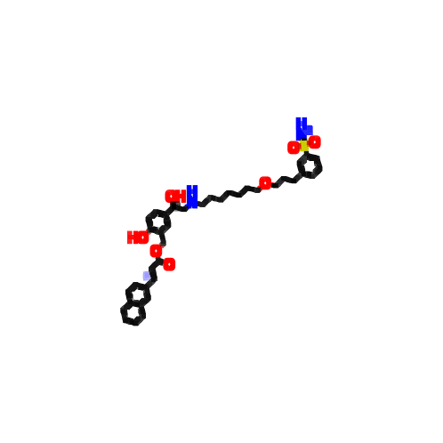 NS(=O)(=O)c1cccc(CCCOCCCCCCCNC[C@H](O)c2ccc(O)c(COC(=O)/C=C/c3ccc4ccccc4c3)c2)c1